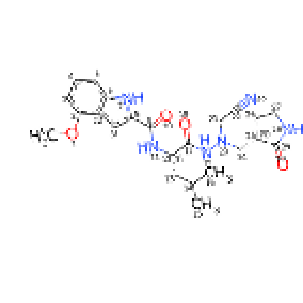 COc1cccc2[nH]c(C(=O)N[C@@H](CC(C)C)C(=O)NN(CC#N)C[C@@H]3CCNC3=O)cc12